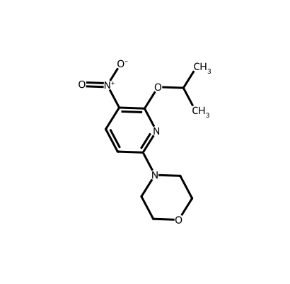 CC(C)Oc1nc(N2CCOCC2)ccc1[N+](=O)[O-]